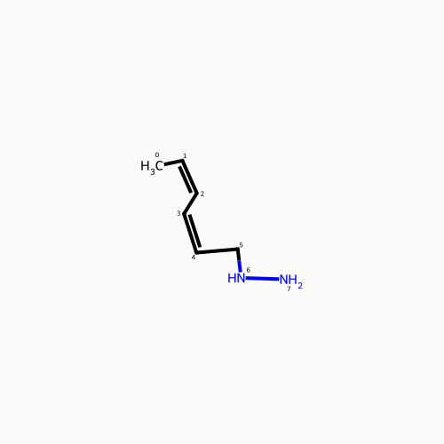 C/C=C\C=C/CNN